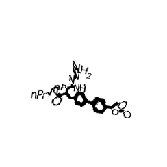 CCCN(CCC)C(=O)C1=Cc2ccc(-c3ccc(C4COC(=O)O4)cc3)cc2NC(N=NN)C1